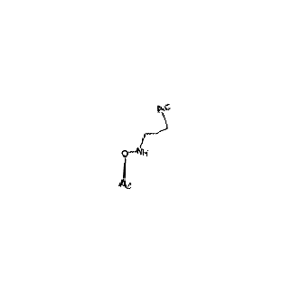 CC(=O)CCNOC(C)=O